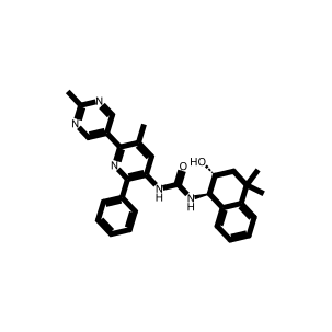 Cc1ncc(-c2nc(-c3ccccc3)c(NC(=O)N[C@@H]3c4ccccc4C(C)(C)C[C@H]3O)cc2C)cn1